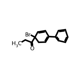 CCC(=O)C1(Br)C=CC(c2ccccc2)=CC1